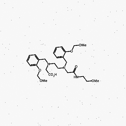 COCCNC(=O)CN(CCN(CC(=O)O)Cc1ccccc1OCOC)Cc1ccccc1OCOC